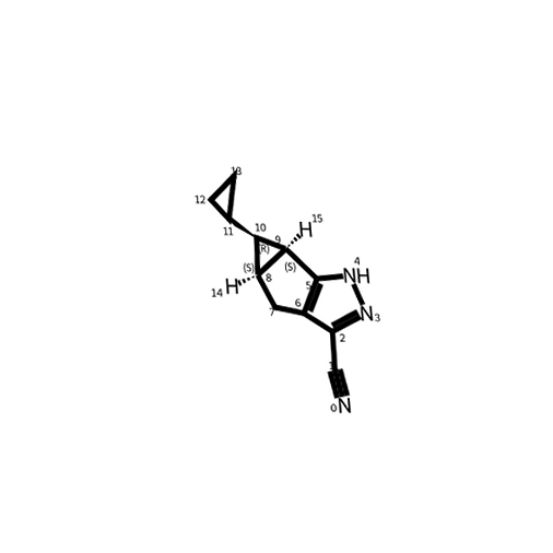 N#Cc1n[nH]c2c1C[C@@H]1[C@H]2[C@@H]1C1CC1